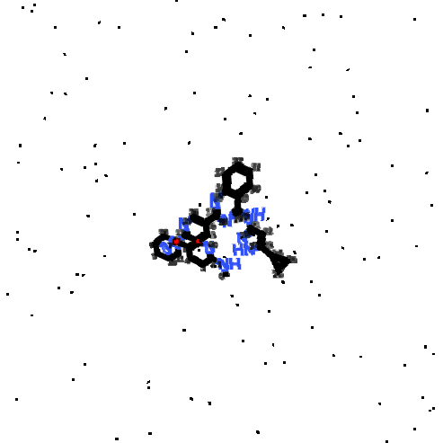 CNc1ccc(CN2C3CC2CN(c2ccc(-c4nc(Nc5cc(C6CC6)[nH]n5)c5ccccc5n4)cn2)C3)cn1